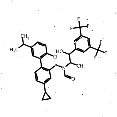 CC(C)c1ccc(Cl)c(-c2ccc(C3CC3)cc2CN(C=O)C(C)C(O)c2cc(C(F)(F)F)cc(C(F)(F)F)c2)c1